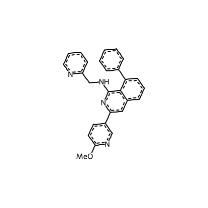 COc1ccc(-c2cc3cccc(-c4ccccc4)c3c(NCc3ccccn3)n2)cn1